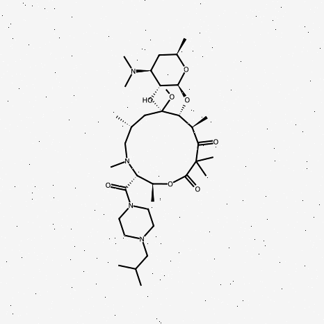 CO[C@]1(C)C[C@@H](C)CN(C)[C@@H](C(=O)N2CCN(CC(C)C)CC2)[C@H](C)OC(=O)C(C)(C)C(=O)[C@H](C)[C@H]1O[C@@H]1O[C@H](C)C[C@H](N(C)C)[C@H]1O